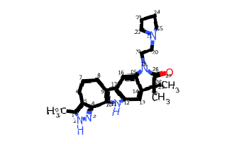 Cc1[nH]nc2c1CCCc1c-2[nH]c2cc3c(cc12)N(CCN1CCCC1)C(=O)C3(C)C